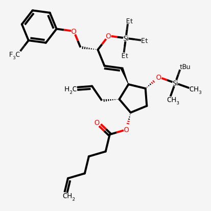 C=CCCCC(=O)O[C@H]1C[C@@H](O[Si](C)(C)C(C)(C)C)[C@H](/C=C/[C@H](COc2cccc(C(F)(F)F)c2)O[Si](CC)(CC)CC)[C@H]1CC=C